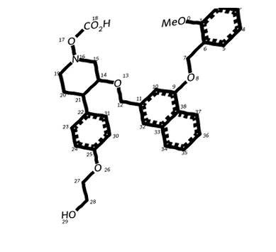 COc1ccccc1COc1cc(COC2CN(OC(=O)O)CCC2c2ccc(OCCO)cc2)cc2ccccc12